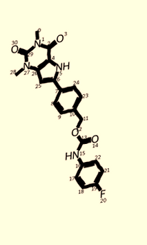 Cn1c(=O)c2[nH]c(-c3ccc(COC(=O)Nc4ccc(F)cc4)cc3)cc2n(C)c1=O